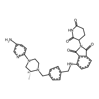 C[C@@H]1CN(c2ccc(N)cn2)CCN1Cc1ccc(CNc2cccc3c2C(=O)N(C2CCC(=O)NC2=O)C3=O)cc1